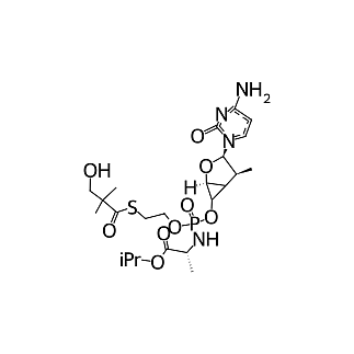 CC(C)OC(=O)[C@@H](C)NP(=O)(OCCSC(=O)C(C)(C)CO)OC1C2[C@@H]1O[C@@H](n1ccc(N)nc1=O)[C@H]2C